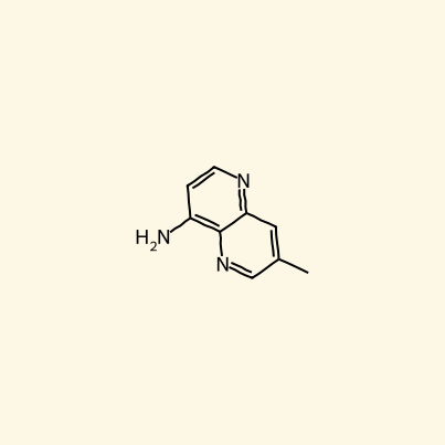 Cc1cnc2c(N)ccnc2c1